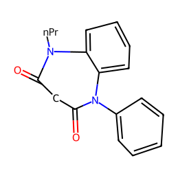 CCCN1C(=O)CC(=O)N(c2ccccc2)c2ccccc21